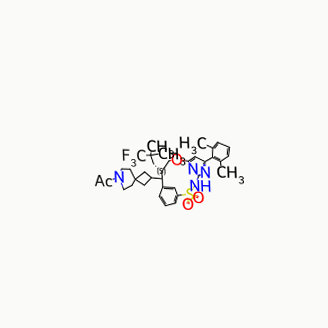 CC(=O)N1CCC2(CC1)CC(C1c3cccc(c3)S(=O)(=O)Nc3nc(cc(-c4c(C)cccc4C)n3)OC[C@H]1CC(C)(C)C(F)(F)F)C2